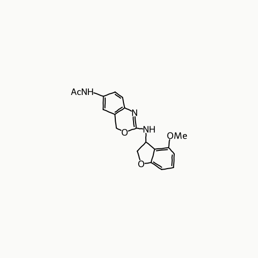 COc1cccc2c1C(NC1=Nc3ccc(NC(C)=O)cc3CO1)CO2